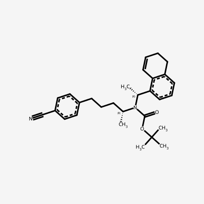 C[C@H](CCCc1ccc(C#N)cc1)N(C(=O)OC(C)(C)C)[C@H](C)c1cccc2c1C=CCC2